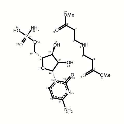 COC(=O)CCNCCC(=O)OC.Nc1ccn([C@@H]2O[C@H](COP(N)(=O)O)[C@@H](O)[C@H]2O)c(=O)n1